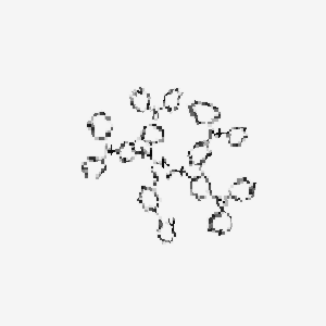 c1ccc(N(c2ccccc2)c2ccc3c(c2)c2cc(N(c4ccccc4)c4ccccc4)ccc2n3-c2cc(-c3cccc(-c4ccccn4)c3)cc(-n3c4ccc(N(c5ccccc5)c5ccccc5)cc4c4cc(N(c5ccccc5)c5ccccc5)ccc43)n2)cc1